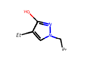 CCc1cn(CC(C)C)nc1O